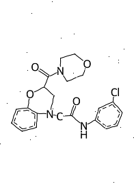 O=C(CN1CC(C(=O)N2CCOCC2)Oc2ccccc21)Nc1cccc(Cl)c1